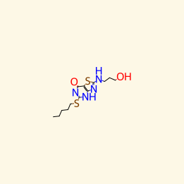 CCCCCSc1nc(=O)c2sc(NCCCO)nc2[nH]1